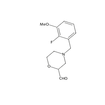 COc1cccc(CN2CCOC(C=O)C2)c1F